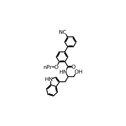 CCCOc1ccc(-c2cccc(C#N)c2)cc1C(=O)NC(CO)Cc1c[nH]c2ccccc12